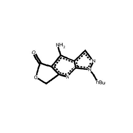 CCCCn1ncc2c(N)c3c(nc21)COC3=O